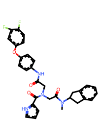 CN(C(=O)CN(CC(=O)Nc1ccc(Oc2ccc(F)c(F)c2)cc1)C(=O)c1ccc[nH]1)C1Cc2ccccc2C1